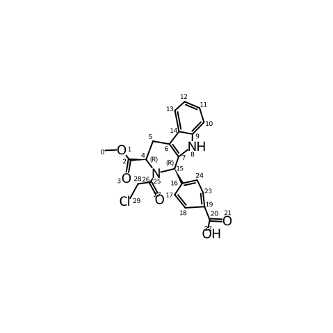 COC(=O)[C@H]1Cc2c([nH]c3ccccc23)[C@@H](c2ccc(C(=O)O)cc2)N1C(=O)CCl